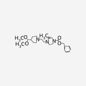 COC(OC)C1CCN(CCN2CCN(C(=O)OCc3ccccc3)C[C@@H]2C)CC1